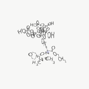 CCOC(=O)/C(C#N)=N/OC(N1CCOCC1)=[N+](C)C.O=P(O)(O)OP(=O)(O)OP(=O)(O)OP(=O)(O)OP(=O)(O)OP(=O)(O)O